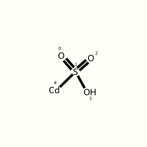 O=[S](=O)(O)[Cd]